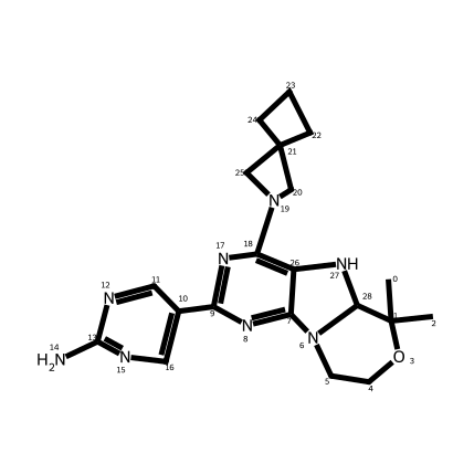 CC1(C)OCCN2c3nc(-c4cnc(N)nc4)nc(N4CC5(CCC5)C4)c3NC21